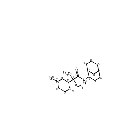 CC(C)(C(=O)NC1CCC2CCCC1C2)C1CN(Cl)CCO1